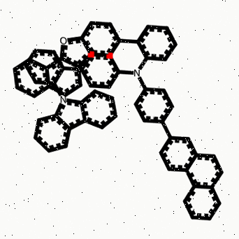 c1ccc(N(c2ccc(-c3ccc4c(ccc5ccccc54)c3)cc2)c2ccc(-c3ccccc3-n3c4ccccc4c4ccccc43)cc2)c(-c2ccc3oc4c5ccccc5ccc4c3c2)c1